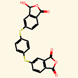 O=C1OC(=O)c2cc(Sc3ccc(Sc4ccc5c(c4)C(O)OC5=O)cc3)ccc21